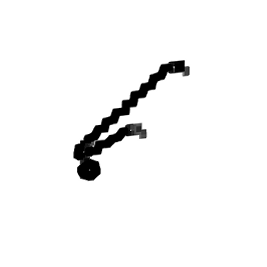 CCCCCCCCCCCCCCCCCC[n+]1ccn(-c2ccccc2)c1CCCCCCC